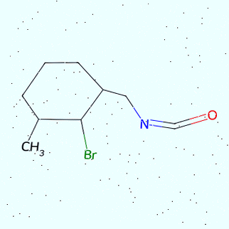 CC1CCCC(CN=C=O)C1Br